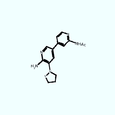 CC(=O)Nc1cc(-c2cnc(N)c(N3CCCS3)c2)ccn1